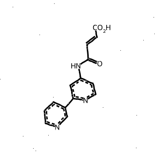 O=C(O)/C=C/C(=O)Nc1ccnc(-c2cccnc2)c1